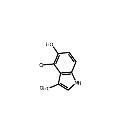 O=Cc1c[nH]c2ccc(O)c(Cl)c12